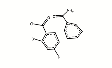 NC(=O)c1ccccc1.O=C(Cl)c1ccc(F)cc1Br